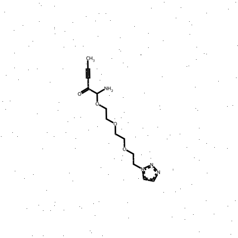 CC#CC(=O)C(N)OCCOCCOCCn1ccnn1